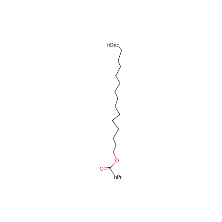 CCCCCCCCCCCCCCCCCCCCCCCCOC(=O)CCC